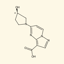 O=C(O)c1cnn2ccc(N3CC[C@@H](O)C3)nc12